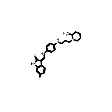 CC1CCCCN1CCCNc1ccc(NC=C2C(=O)Nc3cc(F)ccc32)cc1